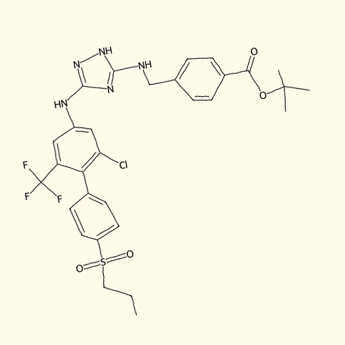 CCCS(=O)(=O)c1ccc(-c2c(Cl)cc(Nc3n[nH]c(NCc4ccc(C(=O)OC(C)(C)C)cc4)n3)cc2C(F)(F)F)cc1